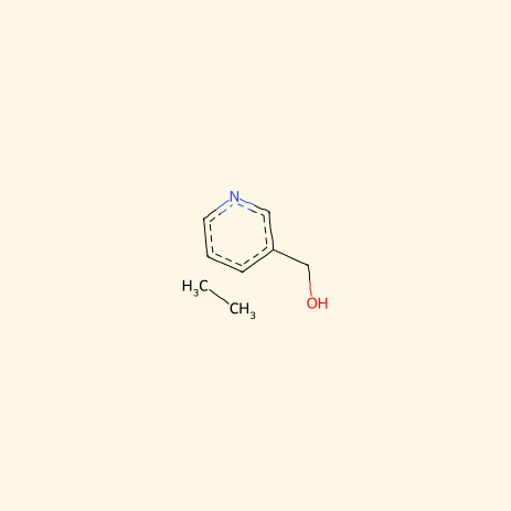 CC.OCc1cccnc1